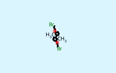 Cc1c(OCCCBr)cccc1-c1cccc(OCCCBr)c1C